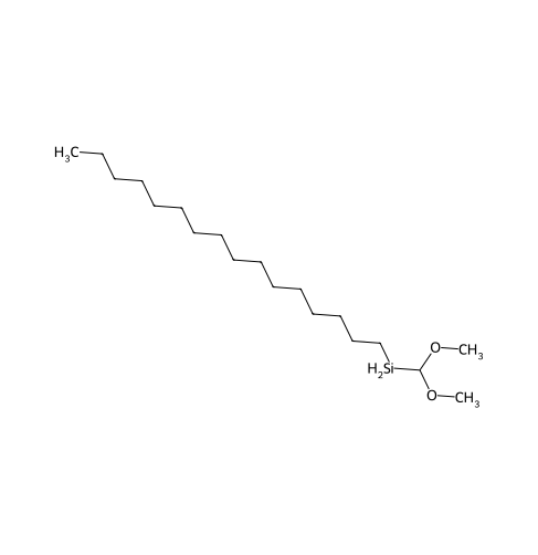 CCCCCCCCCCCCCCCC[SiH2]C(OC)OC